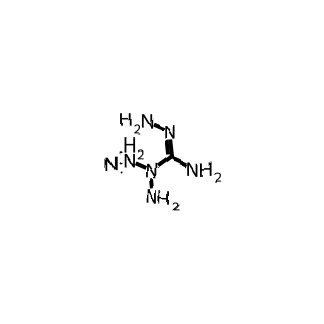 NN=C(N)N(N)N.[N]